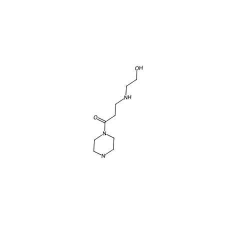 O=C(CCNCCO)N1CC[N]CC1